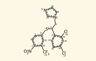 O=[N+]([O-])c1ccc(SC(Cn2ccnc2)c2ccc(Cl)cc2Cl)cc1C(F)(F)F